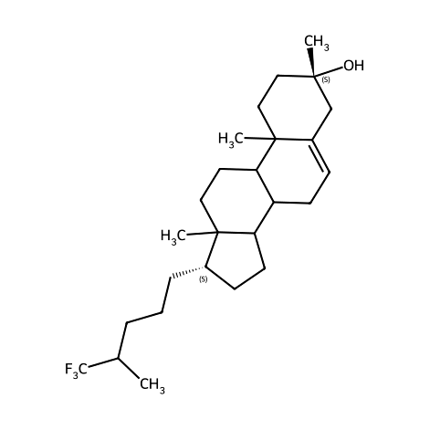 CC(CCC[C@H]1CCC2C3CC=C4C[C@@](C)(O)CCC4(C)C3CCC21C)C(F)(F)F